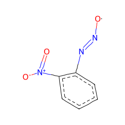 [O]N=Nc1ccccc1[N+](=O)[O-]